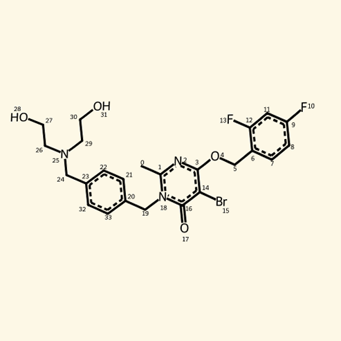 Cc1nc(OCc2ccc(F)cc2F)c(Br)c(=O)n1Cc1ccc(CN(CCO)CCO)cc1